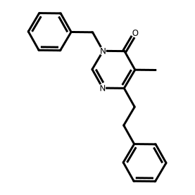 Cc1c(CCc2ccccc2)ncn(Cc2ccccc2)c1=O